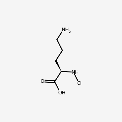 NCCC[C@@H](NCl)C(=O)O